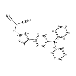 N#CC(C#N)Cc1ccc(-c2ccc(N(c3ccccc3)c3ccccc3)cc2)s1